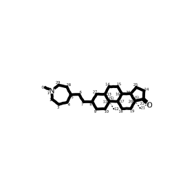 CN1CCCC(CCC2CC[C@@]3(C)C(CCC4C3CC[C@]3(C)C(=O)CCC43)C2)CC1